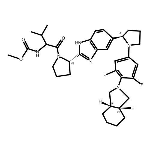 COC(=O)NC(C(=O)N1CCC[C@H]1c1nc2cc([C@H]3CCCN3c3cc(F)c(N4C[C@H]5CCCC[C@H]5C4)c(F)c3)ccc2[nH]1)C(C)C